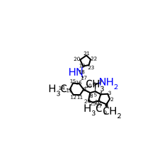 C=C1CCC2[C@H](CN)C([C@@]3(C)CC[C@H](C)C[C@@H]3CNC3CCCC3)CC[C@]12C